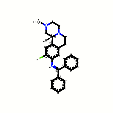 O=C(O)N1CCN2CCc3cc(N=C(c4ccccc4)c4ccccc4)c(F)cc3[C@@H]2C1